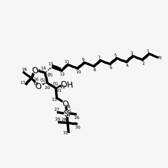 CCCCCCCCCCCCC=C[C@H]1OC(C)(C)O[C@H]1[C@@H](O)CO[Si](C)(C)C(C)(C)C